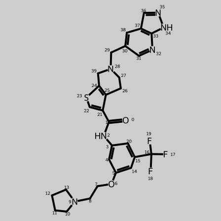 O=C(Nc1cc(OCCN2CCCC2)cc(C(F)(F)F)c1)c1csc2c1CCN(Cc1cnc3[nH]ncc3c1)C2